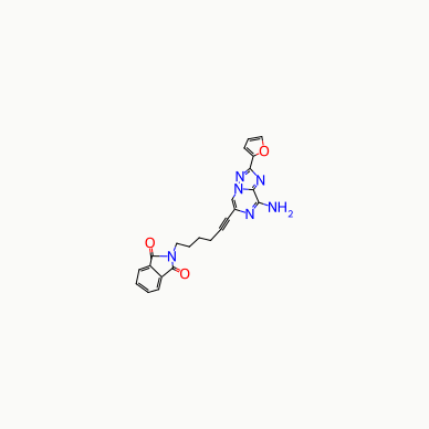 Nc1nc(C#CCCCCN2C(=O)c3ccccc3C2=O)cn2nc(-c3ccco3)nc12